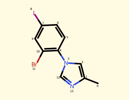 Cc1cn(-c2ccc(I)cc2Br)cn1